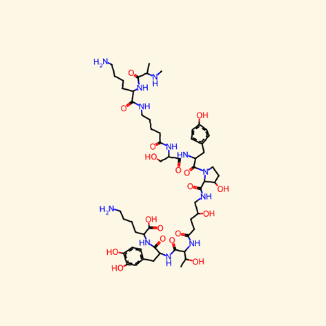 CNC(C)C(=O)NC(CCCCN)C(=O)NCCCCC(=O)NC(CO)C(=O)NC(Cc1ccc(O)cc1)C(=O)N1CCC(O)C1C(=O)NCC(O)CCC(=O)NC(C(=O)NC(Cc1ccc(O)c(O)c1)C(=O)NC(CCCCN)C(=O)O)C(C)O